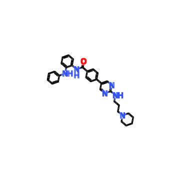 O=C(Nc1ccccc1Nc1ccccc1)c1ccc(-c2cnc(NCCCN3CCCCC3)nc2)cc1